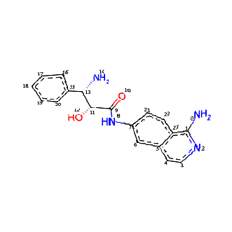 Nc1nccc2cc(NC(=O)[C@H](O)[C@@H](N)c3ccccc3)ccc12